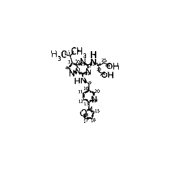 CC(C)c1cnn2c(NCc3ccc(-c4ccco4)nc3)nc(NC(CO)CO)nc12